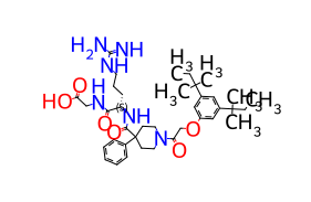 CCC(C)(C)c1cc(OCC(=O)N2CCC(C(=O)N[C@@H](CCCNC(=N)N)C(=O)NCC(=O)O)(c3ccccc3)CC2)cc(C(C)(C)CC)c1